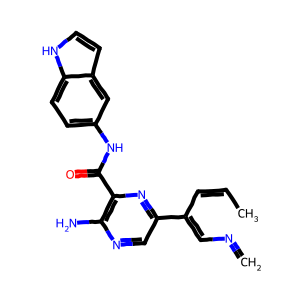 C=N/C=C(\C=C/C)c1cnc(N)c(C(=O)Nc2ccc3[nH]ccc3c2)n1